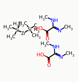 CN=C(NC)C(=O)O.CN=C(NC)C(=O)O.C[Si](C)(C)[Zr][Si](C)(C)C